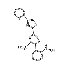 O=C(O)c1cc(-c2nc(-c3ccccn3)cs2)ccc1-c1ccccc1NO